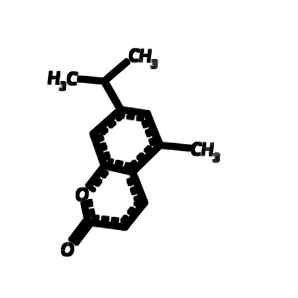 Cc1cc(C(C)C)cc2oc(=O)ccc12